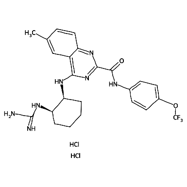 Cc1ccc2nc(C(=O)Nc3ccc(OC(F)(F)F)cc3)nc(N[C@H]3CCCC[C@H]3NC(=N)N)c2c1.Cl.Cl